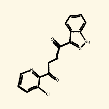 O=C(CCC(=O)c1n[nH]c2ccccc12)c1ncccc1Cl